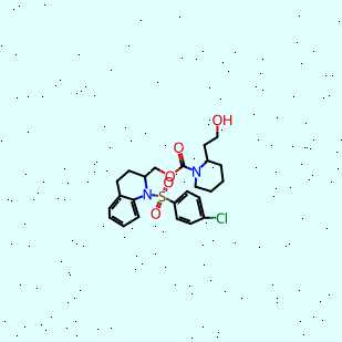 O=C(OCC1CCc2ccccc2N1S(=O)(=O)c1ccc(Cl)cc1)N1CCCCC1CCO